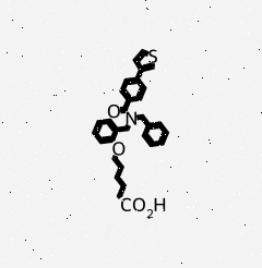 O=C(O)CCCCCOc1ccccc1CN(Cc1ccccc1)C(=O)c1ccc(-c2ccsc2)cc1